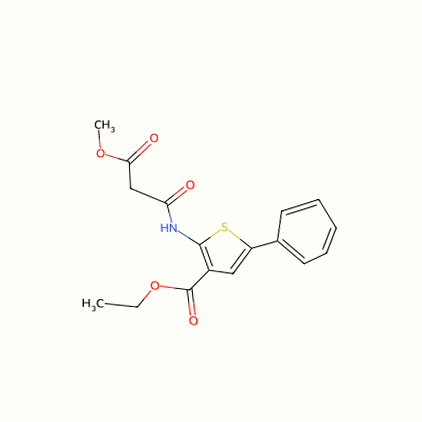 CCOC(=O)c1cc(-c2ccccc2)sc1NC(=O)CC(=O)OC